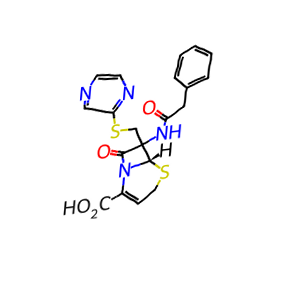 O=C(Cc1ccccc1)NC1(CSc2cnccn2)C(=O)N2C(C(=O)O)=CCS[C@H]21